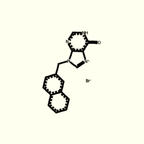 O=c1[nH]cnc2c1[N+]=CN2Cc1ccc2ccccc2c1.[Br-]